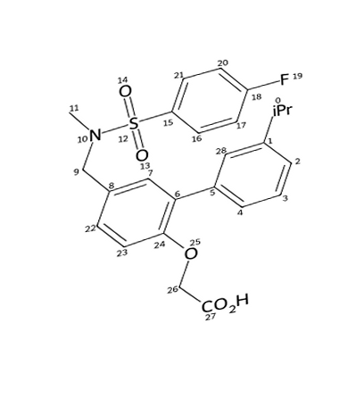 CC(C)c1cccc(-c2cc(CN(C)S(=O)(=O)c3ccc(F)cc3)ccc2OCC(=O)O)c1